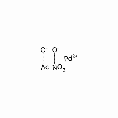 CC(=O)[O-].O=[N+]([O-])[O-].[Pd+2]